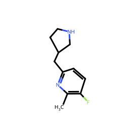 Cc1nc(CC2CCNC2)ccc1F